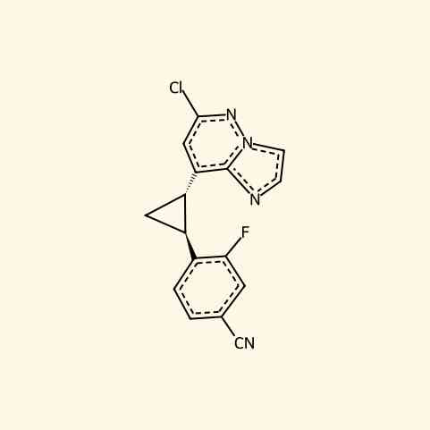 N#Cc1ccc([C@H]2C[C@@H]2c2cc(Cl)nn3ccnc23)c(F)c1